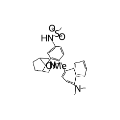 COC1(c2cccc(NS(C)(=O)=O)c2)C2CCC1CN(Cc1ccc(N(C)C)c3ccccc13)C2